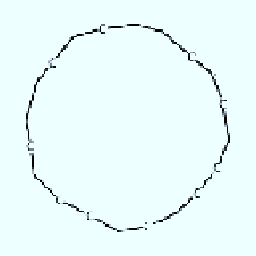 [CH]1CCC[CH]CCCCCCCCCCCCCCC1